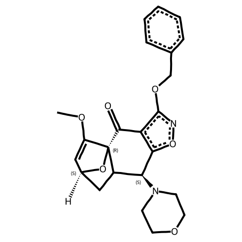 COC1=C[C@@H]2CC3[C@H](N4CCOCC4)c4onc(OCc5ccccc5)c4C(=O)[C@]13O2